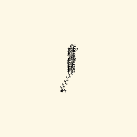 CC(C)CCCCCCCCCCC(F)(F)C(F)(F)C(F)(F)C(F)(F)C(F)(F)C(F)(F)C(F)(F)C(F)(F)C(F)(F)C(F)(F)C(F)(F)C(F)(F)F